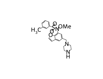 CON(c1cc(CN2CCNCC2)cc2ccoc12)S(=O)(=O)c1cccc(C)c1